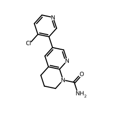 NC(=O)N1CCCc2cc(-c3cnccc3Cl)cnc21